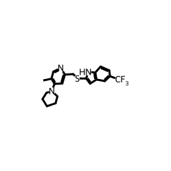 Cc1cnc(CSc2cc3cc(C(F)(F)F)ccc3[nH]2)cc1N1CCCCC1